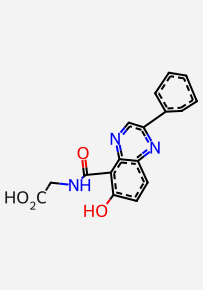 O=C(O)CNC(=O)c1c(O)ccc2nc(-c3ccccc3)cnc12